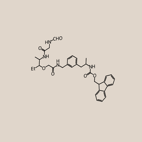 CCC(OCC(=O)NCc1cccc(CC(C)NC(=O)OCC2c3ccccc3-c3ccccc32)c1)C(C)NC(=O)CNC=O